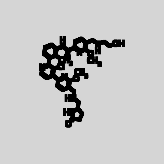 COc1nc(C(=O)Nc2cccc(-c3nccc(-c4ccc(CNCC5CCC(=O)N5)c(OC)n4)c3Cl)c2C)ccc1CNCCO